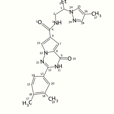 CCC(CNC(=O)c1cc2c(=O)[nH]c(-c3ccc(C)c(C)c3)nn2c1)n1cc(C)cn1